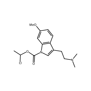 COc1ccc2c(CCN(C)C)cn(C(=O)OC(C)Cl)c2c1